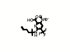 C=CCCC(C)(C)Nc1nc(C(=O)O)c([N+](=O)[O-])cc1C(F)(F)F